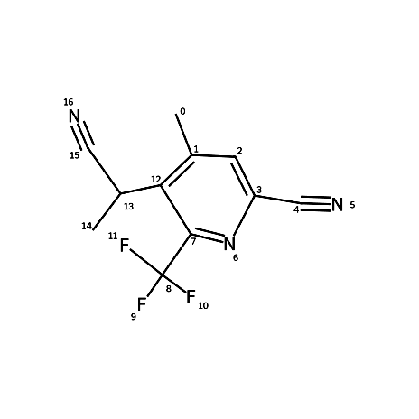 Cc1cc(C#N)nc(C(F)(F)F)c1C(C)C#N